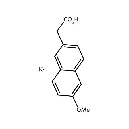 COc1ccc2cc(CC(=O)O)ccc2c1.[K]